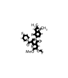 COc1nc2c(C(=O)N3CCC(F)CC3)cn(-c3ccc4c(cc(C)n4C)c3F)c(=O)c2cc1OCF